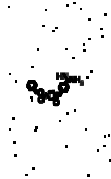 N=C(N)c1ccc(CN2CCN(C(=O)OCc3ccccc3)CC2=O)cc1